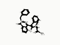 Cc1c(-c2nn(Cc3ccccc3)c(=O)c3ccccc23)c2ccccc2n1CC(N)=O